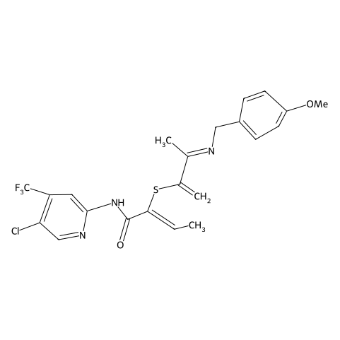 C=C(S/C(=C\C)C(=O)Nc1cc(C(F)(F)F)c(Cl)cn1)/C(C)=N/Cc1ccc(OC)cc1